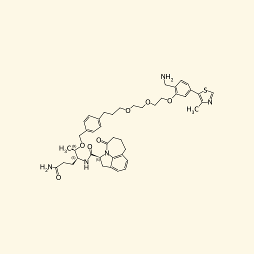 Cc1ncsc1-c1ccc(CN)c(OCCOCCOCCCc2ccc(CO[C@H](C)[C@H](CCC(N)=O)NC(=O)[C@@H]3Cc4cccc5c4N3C(=O)CCC5)cc2)c1